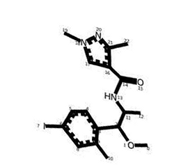 COC(c1ccc(I)cc1C)C(C)NC(=O)c1cn(C)nc1C